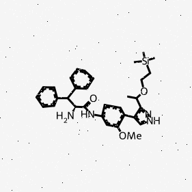 COc1cc(NC(=O)[C@@H](N)C(c2ccccc2)c2ccccc2)ccc1-c1c[nH]nc1C(C)OCC[Si](C)(C)C